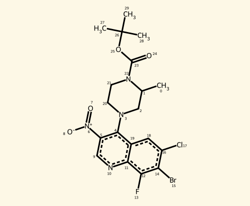 CC1CN(c2c([N+](=O)[O-])cnc3c(F)c(Br)c(Cl)cc23)CCN1C(=O)OC(C)(C)C